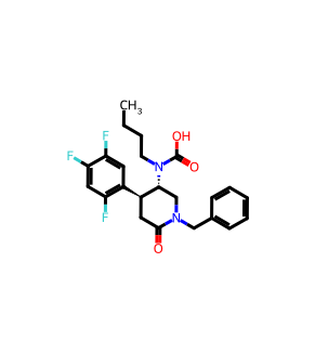 CCCCN(C(=O)O)[C@@H]1CN(Cc2ccccc2)C(=O)C[C@H]1c1cc(F)c(F)cc1F